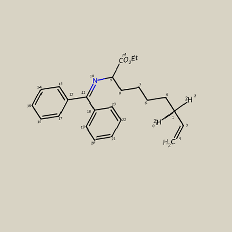 [2H]C([2H])(C=C)CCCCC(N=C(c1ccccc1)c1ccccc1)C(=O)OCC